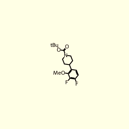 COc1c(C2CCN(C(=O)OC(C)(C)C)CC2)ccc(F)c1F